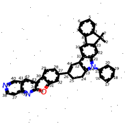 CC1(C)c2ccccc2-c2cc3c4c(n(-c5ccccc5)c3cc21)CCC(c1ccc2c(c1)oc1nc3ccncc3cc12)=C4